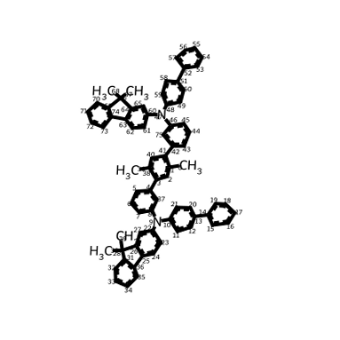 Cc1cc(-c2cccc(N(c3ccc(-c4ccccc4)cc3)c3ccc4c(c3)C(C)(C)c3ccccc3-4)c2)c(C)cc1-c1cccc(N(c2ccc(-c3ccccc3)cc2)c2ccc3c(c2)C(C)(C)c2ccccc2-3)c1